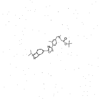 Cc1cc(CN(C)CC(=O)OC(C)(C)C)ccc1-c1noc(-c2ccc3c(cnn3C(C)C)c2)n1